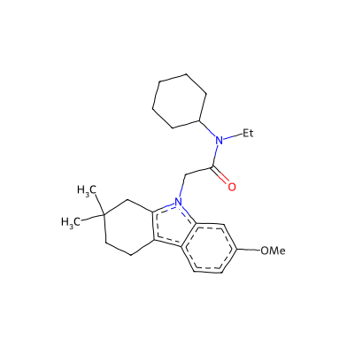 CCN(C(=O)Cn1c2c(c3ccc(OC)cc31)CCC(C)(C)C2)C1CCCCC1